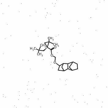 CC(C)(C)C[C@@]1(C(=O)OCOC2CC3CC2C2C4CCC(C4)C32)CC1(C)C